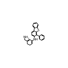 NCC1=CC(Nc2ccc3c(sc4ccccc43)c2-c2ccccc2)=CCC1